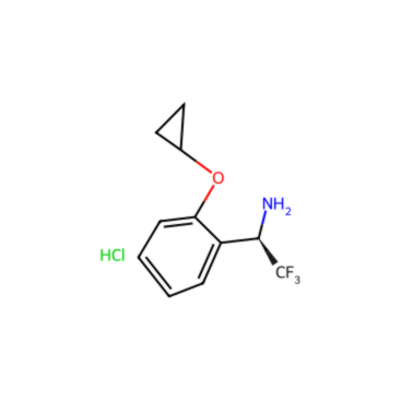 Cl.N[C@H](c1ccccc1OC1CC1)C(F)(F)F